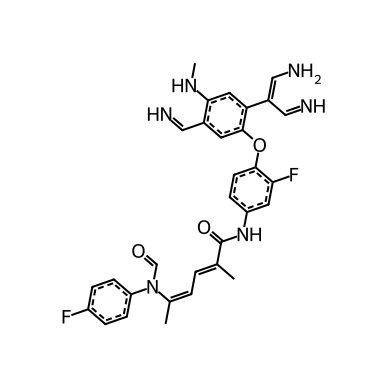 CNc1cc(/C(C=N)=C/N)c(Oc2ccc(NC(=O)/C(C)=C/C=C(/C)N(C=O)c3ccc(F)cc3)cc2F)cc1C=N